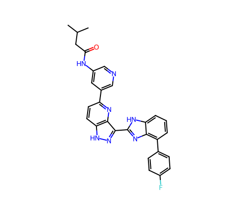 CC(C)CC(=O)Nc1cncc(-c2ccc3[nH]nc(-c4nc5c(-c6ccc(F)cc6)cccc5[nH]4)c3n2)c1